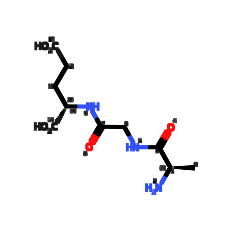 C[C@H](N)C(=O)NCC(=O)N[C@@H](CCC(=O)O)C(=O)O